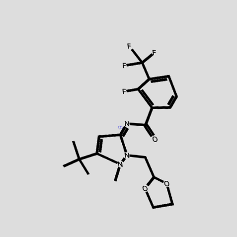 Cn1c(C(C)(C)C)c/c(=N/C(=O)c2cccc(C(F)(F)F)c2F)n1CC1OCCO1